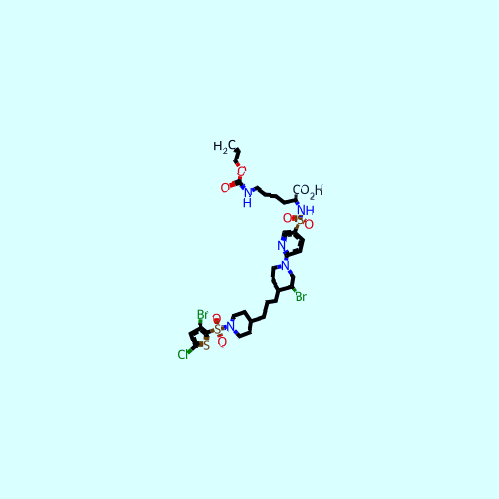 C=CCOC(=O)NCCCCC(NS(=O)(=O)c1ccc(N2CCC(CCCC3CCN(S(=O)(=O)c4sc(Cl)cc4Br)CC3)C(Br)C2)nc1)C(=O)O